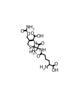 CC1(NC(=O)CCCC(N)C(=O)O)C(=O)N2C(C(=O)O)=C(COC(N)=O)CS[C@H]21